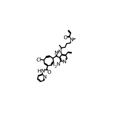 C=CC(=O)N(C)CCCC(C)n1nc(C2C#CC(Cl)/C=C(C(=O)Nc3ccccn3)\C=C/2)c2c(N)ncc(C=C)c21